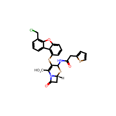 O=C(Cc1cccs1)NC1S[C@@H]2CC(=O)N2C(C(=O)O)=C1Sc1cccc2oc3c(CCl)cccc3c12